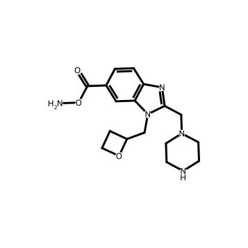 NOC(=O)c1ccc2nc(CN3CCNCC3)n(CC3CCO3)c2c1